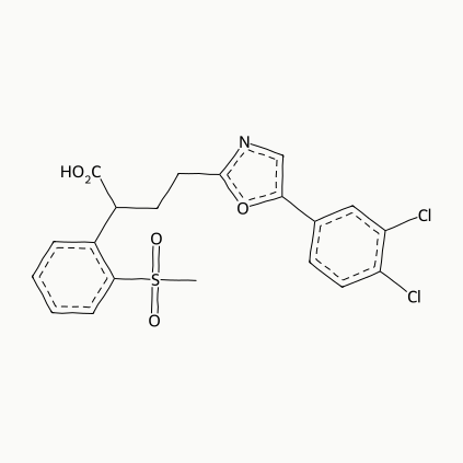 CS(=O)(=O)c1ccccc1C(CCc1ncc(-c2ccc(Cl)c(Cl)c2)o1)C(=O)O